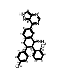 NC1c2cc(-c3ncnc4c[nH]nc34)ccc2CC(c2ccc(Cl)cc2)C1c1ccccc1Cl